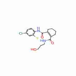 O=C(NCCCO)C1=C(C(=O)Nc2ccc(Cl)cc2F)CCCC1